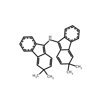 CC1(C)C=CC2=C(NC3=C4C=CC(C)(C)C=C4c4ccccc43)c3ccccc3C2=C1